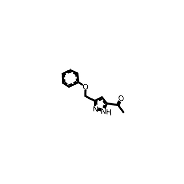 CC(=O)c1cc(COc2ccccc2)n[nH]1